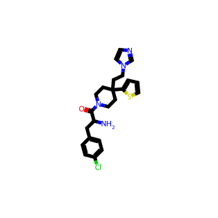 NC(Cc1ccc(Cl)cc1)C(=O)N1CCC(CCn2ccnc2)(c2cccs2)CC1